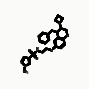 Cn1cc(S(=O)(=O)NCCOc2ccc3c(c2)C(Cc2ccccc2)C(N2CCC2)CO3)cn1